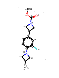 CC(C)(C)OC(=O)N1CC(c2ccc(N3CC(C(F)(F)F)C3)c(F)c2)C1